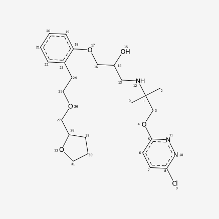 CC(C)(COc1ccc(Cl)nn1)NCC(O)COc1ccccc1CCOCC1CCCO1